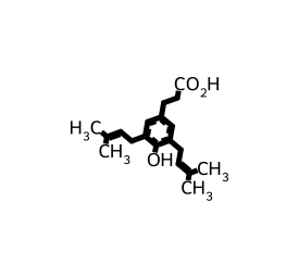 CC(C)=CCc1cc(CCC(=O)O)cc(CC=C(C)C)c1O